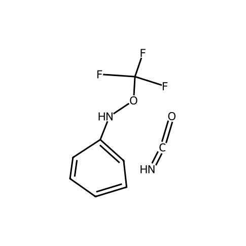 FC(F)(F)ONc1ccccc1.N=C=O